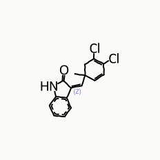 CC1(/C=C2\C(=O)Nc3ccccc32)C=CC(Cl)=C(Cl)C1